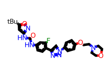 CC(C)(C)c1cc(NC(=O)Nc2ccc(-c3cn(-c4ccc(OCCN5CCOCC5)cc4)nn3)c(F)c2)no1